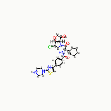 CN1CCN(c2nc(-c3ccc(C(=O)N[C@H](C(=O)N4C[C@@H](Cl)[C@H]5OCC(=O)[C@H]54)C4CCCCC4)cc3)cs2)CC1